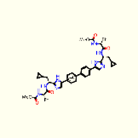 CC[C@H](NC(=O)OC)C(=O)N[C@@H](CC1CC1)c1ncc(-c2ccc(C34CCC(c5cnc([C@H](CC6CC6)NC(=O)[C@H](CC)NC(=O)OC)[nH]5)(CC3)CC4)cc2)[nH]1